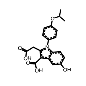 CC(C)Oc1ccc(-n2c(CC(=O)O)c(C(=O)O)c3cc(O)ccc32)cc1